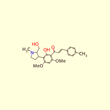 COc1cc(OC)c(C2CCN(C)C2CO)c(O)c1C(=O)C=Cc1ccc(C)cc1